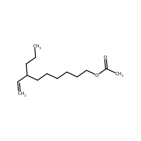 C=CC(CCC)CCCCCCOC(C)=O